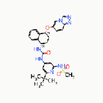 CC(C)(C)c1cc(NC(=O)N[C@H]2CC[C@@H](Oc3ccc4nncn4c3)c3ccccc32)cc(NS(C)(=O)=O)n1